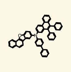 c1ccc(-c2ccc(N(c3ccc4c(c3)c(-c3ccccc3)c(-c3ccccc3)c3ccccc34)c3ccc4oc5c6ccccc6ccc5c4c3)cc2)cc1